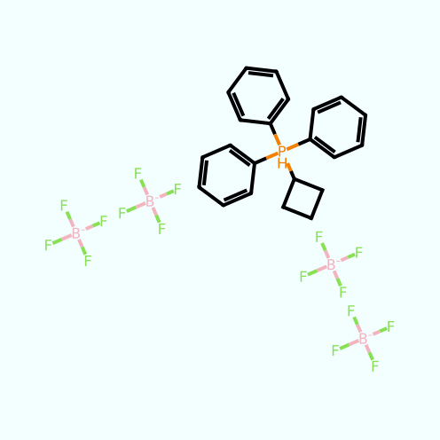 F[B-](F)(F)F.F[B-](F)(F)F.F[B-](F)(F)F.F[B-](F)(F)F.c1ccc([PH](c2ccccc2)(c2ccccc2)C2CCC2)cc1